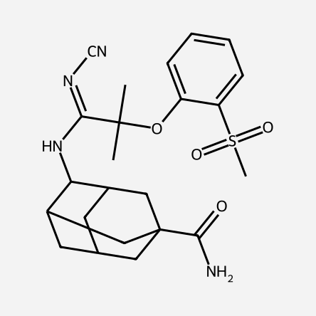 CC(C)(Oc1ccccc1S(C)(=O)=O)/C(=N\C#N)NC1C2CC3CC1CC(C(N)=O)(C3)C2